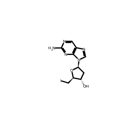 Nc1ncc2ncn([C@H]3C[C@H](O)[C@@H](CI)O3)c2n1